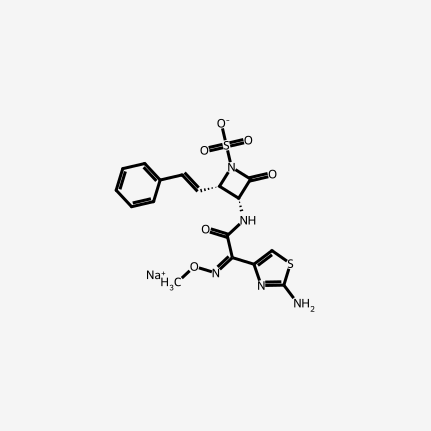 CO/N=C(\C(=O)N[C@H]1C(=O)N(S(=O)(=O)[O-])[C@H]1/C=C/c1ccccc1)c1csc(N)n1.[Na+]